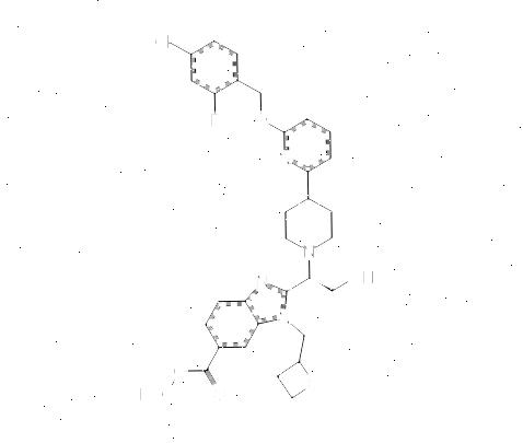 CC[C@@H](c1nc2ccc(C(=O)OC)cc2n1CC1CCO1)N1CCC(c2cccc(OCc3ccc(Cl)cc3F)n2)CC1